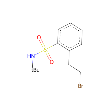 CC(C)(C)NS(=O)(=O)c1ccccc1CCBr